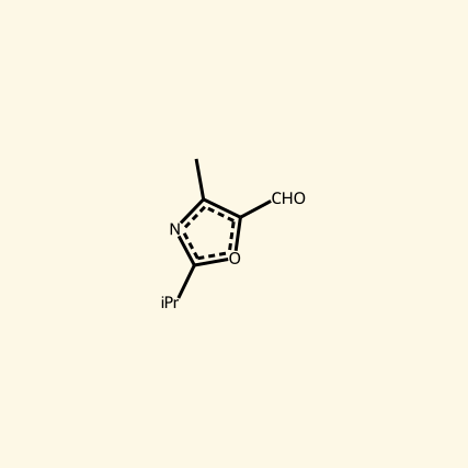 Cc1nc(C(C)C)oc1C=O